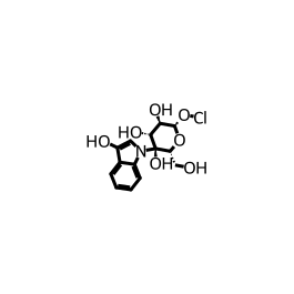 OC[C@H]1O[C@@H](OCl)[C@H](O)[C@@H](O)[C@@]1(O)n1cc(O)c2ccccc21